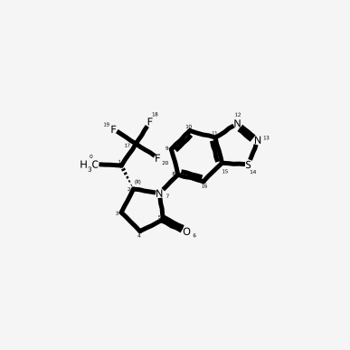 CC([C@H]1CCC(=O)N1c1ccc2nnsc2c1)C(F)(F)F